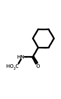 O=C(O)NC(=O)C1CCCCC1